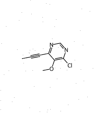 CC#Cc1ncnc(Cl)c1OC